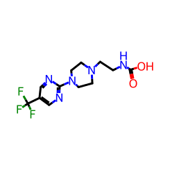 O=C(O)NCCN1CCN(c2ncc(C(F)(F)F)cn2)CC1